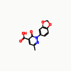 Cc1cc(C(=O)O)c(=O)n(-c2ccc3c(c2)OCO3)n1